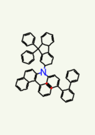 C1=CC2C3=CCC(N(c4ccc(-c5ccccc5-c5ccccc5)cc4)c4ccc5ccccc5c4-c4ccccc4)C=C3C(c3ccccc3)(c3ccccc3)C2C=C1